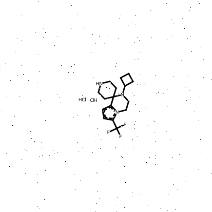 Cl.Cl.FC(F)(F)c1ccc2n1CCN(C1CCC1)C21CCNCC1